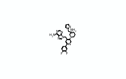 Nc1ncnc2c1ncn2Cc1cc(-c2ccc(F)c(F)c2)ncc1N1CCC[C@](N)(Cn2cccn2)C1